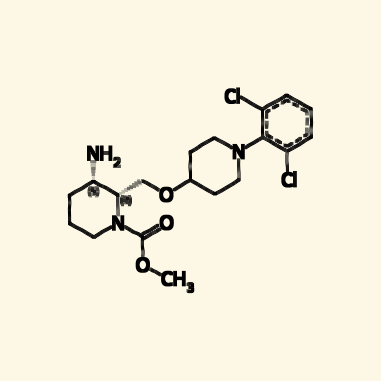 COC(=O)N1CCC[C@H](N)[C@@H]1COC1CCN(c2c(Cl)cccc2Cl)CC1